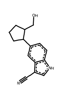 N#Cc1c[nH]c2ccc(C3CCCC3CO)cc12